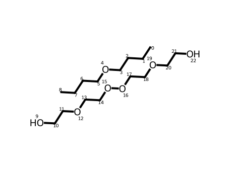 CCCCOCCCC.OCCOCCOOCCOCCO